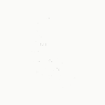 O=C(NCc1ccc(F)cc1)c1cn2c(c(O)c1=O)C(=O)N(C1CCCCC1)CC2